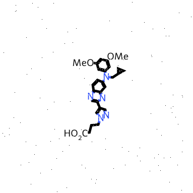 COc1cc(OC)cc(N(CC2CC2)c2ccc3ncc(-c4cnn(CCCC(=O)O)c4)nc3c2)c1